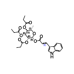 CCC(=O)O[C@@H]1[C@@H](OC(=O)CC)[C@H](C)O[C@H](OC(=O)/C=C/c2c[nH]c3ccccc23)[C@@H]1OC(=O)CC